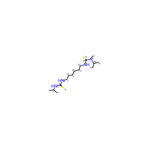 CC(C)NC(=S)NCCCCCCNC(=S)N(C)C(C)C